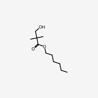 CCCCCCOC(=O)C(C)(C)CO